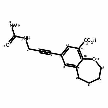 CNC(=O)NCC#Cc1cc2c(c(C(=O)O)c1)OCCCC2